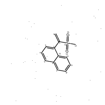 C=C(c1cccc2ccccc12)S(C)(=O)=O